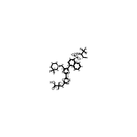 CCC(NS(=O)(=O)c1ccc(-c2sc(-c3nnc(CC(C)(C)C(=O)O)o3)nc2CN2CCCC(F)(F)C2)c2ccccc12)C(F)(F)F